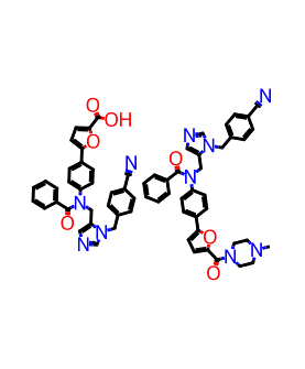 CN1CCN(C(=O)c2ccc(-c3ccc(N(Cc4cncn4Cc4ccc(C#N)cc4)C(=O)c4ccccc4)cc3)o2)CC1.N#Cc1ccc(Cn2cncc2CN(C(=O)c2ccccc2)c2ccc(-c3ccc(C(=O)O)o3)cc2)cc1